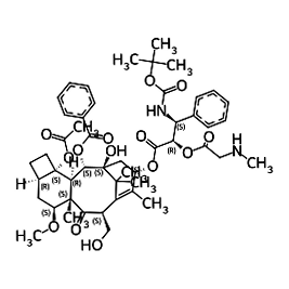 CNCC(=O)O[C@@H](C(=O)O[C@H]1C[C@@]2(O)[C@@H](OC(=O)c3ccccc3)[C@@H]3[C@]4(OC(C)=O)CC[C@@H]4C[C@H](OC)[C@@]3(C)C(=O)[C@H](CO)C(=C1C)C2(C)C)[C@@H](NC(=O)OC(C)(C)C)c1ccccc1